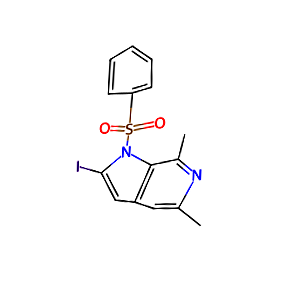 Cc1cc2cc(I)n(S(=O)(=O)c3ccccc3)c2c(C)n1